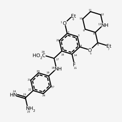 CCOc1cc(OC(CC)C2CCCCN2)c(F)c(C(Nc2ccc(C(=N)N)cc2)C(=O)O)c1